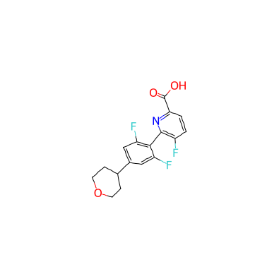 O=C(O)c1ccc(F)c(-c2c(F)cc(C3CCOCC3)cc2F)n1